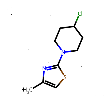 [CH2]c1csc(N2CCC(Cl)CC2)n1